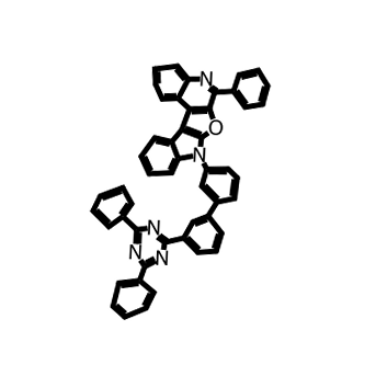 c1ccc(-c2nc(-c3ccccc3)nc(-c3cccc(-c4cccc(-n5c6ccccc6c6c7c(oc65)c(-c5ccccc5)nc5ccccc57)c4)c3)n2)cc1